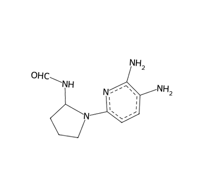 Nc1ccc(N2CCCC2NC=O)nc1N